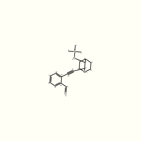 C[Si](C)(C)OC1C2CCN(CC2)C1C#Cc1ccccc1C=O